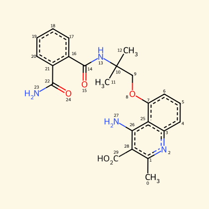 Cc1nc2cccc(OCC(C)(C)NC(=O)c3ccccc3C(N)=O)c2c(N)c1C(=O)O